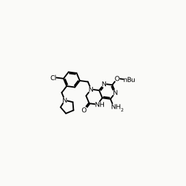 CCCCOc1nc(N)c2c(n1)N(Cc1ccc(Cl)c(CN3CCCC3)c1)CC(=O)N2